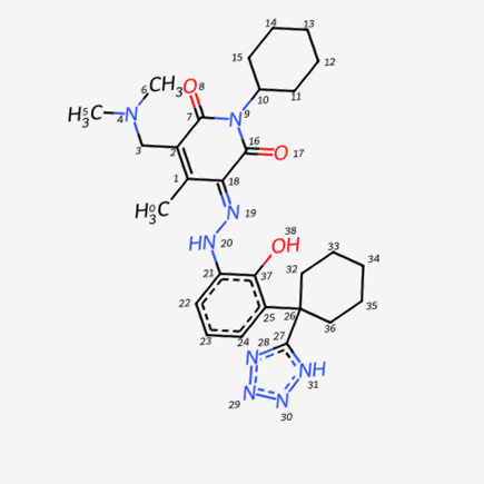 CC1=C(CN(C)C)C(=O)N(C2CCCCC2)C(=O)/C1=N/Nc1cccc(C2(c3nnn[nH]3)CCCCC2)c1O